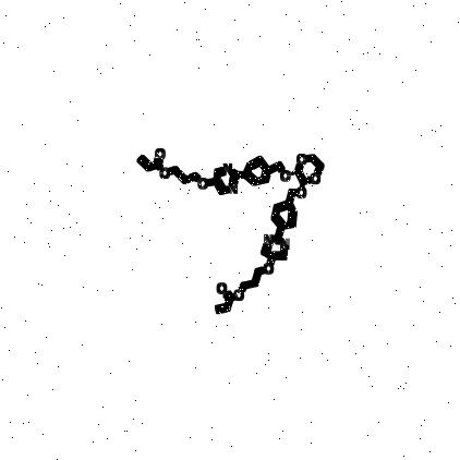 C=CC(=O)OCCCOc1cnc(-c2ccc(CO[C@@H]3OCCO[C@H]3OCc3ccc(-c4ncc(OCCCOC(=O)C=C)cn4)cc3)cc2)nc1